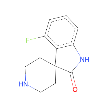 O=C1Nc2cccc(F)c2C12CCNCC2